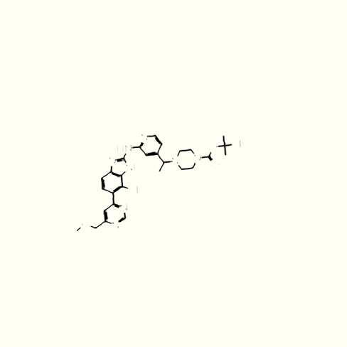 COCc1cc(-c2ccc3nc(Nc4cc(C(C)N5CCN(C(=O)OC(C)(C)S)CC5)ccn4)[nH]c3c2Cl)ncn1